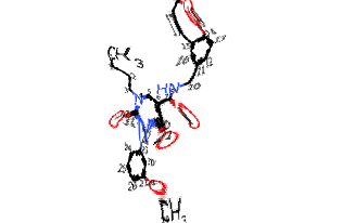 CCCCn1cc(C(=O)NCc2ccc3c(c2)CCO3)c(=O)n(-c2cccc(OC)c2)c1=O